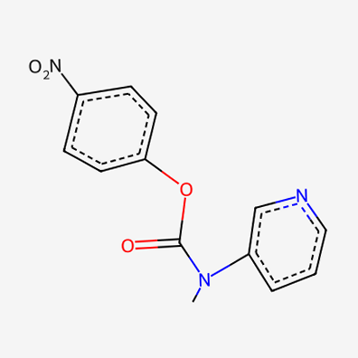 CN(C(=O)Oc1ccc([N+](=O)[O-])cc1)c1cccnc1